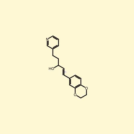 OC(/C=C/c1ccc2c(c1)OCCO2)CCc1cccnc1